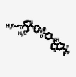 CCCOc1ccnc(N2CCN(S(=O)(=O)c3ccc(Nc4ccnc5cc(C(F)(F)F)ccc45)cc3)CC2)c1CC